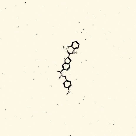 COc1ccc(CN(C)C(C)c2ccc3cc(C(=O)Nc4ccccc4N)sc3c2)cc1